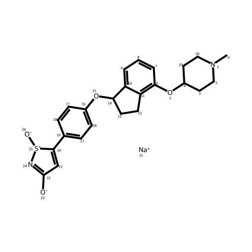 CN1CCC(Oc2cccc3c2CCC3Oc2ccc(-c3cc([O-])n[s+]3[O-])cc2)CC1.[Na+]